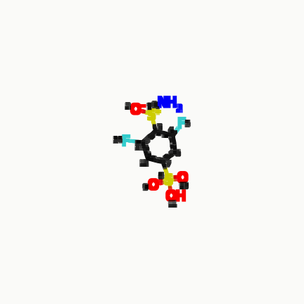 N[S+]([O-])c1c(F)cc(S(=O)(=O)O)cc1F